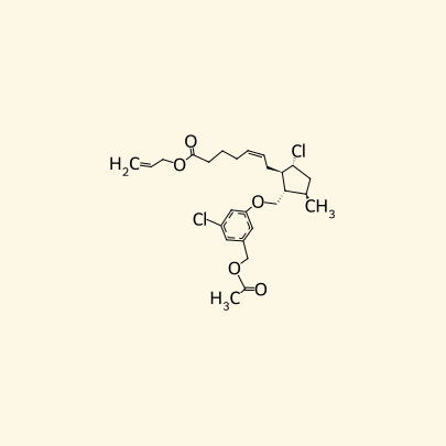 C=CCOC(=O)CCC/C=C\C[C@@H]1[C@@H](COc2cc(Cl)cc(COC(C)=O)c2)[C@H](C)C[C@H]1Cl